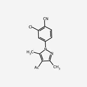 CC(=O)c1c(C)nn(-c2ccc(C#N)c(Cl)c2)c1C